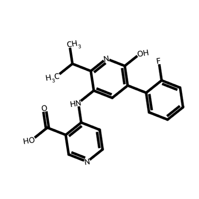 CC(C)c1nc(O)c(-c2ccccc2F)cc1Nc1ccncc1C(=O)O